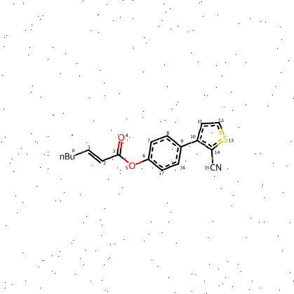 CCCCC=CC(=O)Oc1ccc(-c2ccsc2C#N)cc1